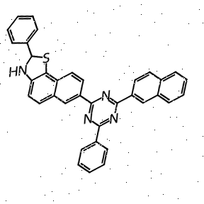 c1ccc(-c2nc(-c3ccc4ccccc4c3)nc(-c3ccc4c5c(ccc4c3)NC(c3ccccc3)S5)n2)cc1